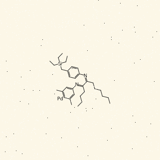 CCCCCCC(=Nc1ccc(C[Si](CC)(CC)CC)cc1)C(CCCC)=Nc1cc(C)cc(C)c1.[Pd]